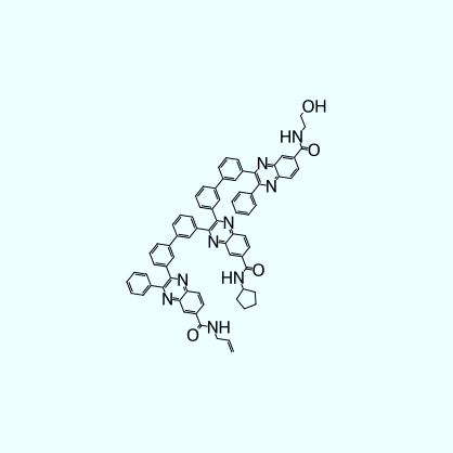 C=CCNC(=O)c1ccc2nc(-c3cccc(-c4cccc(-c5nc6cc(C(=O)NC7CCCC7)ccc6nc5-c5cccc(-c6cccc(-c7nc8cc(C(=O)NCCO)ccc8nc7-c7ccccc7)c6)c5)c4)c3)c(-c3ccccc3)nc2c1